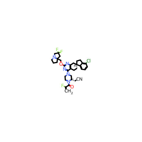 C=C(F)C(=O)N1CCN(c2nc(OCC34CCCN3CC(F)(F)C4)nc3c2CC[C@@]2(CCc4c(Cl)cccc42)C3)C[C@@H]1CC#N